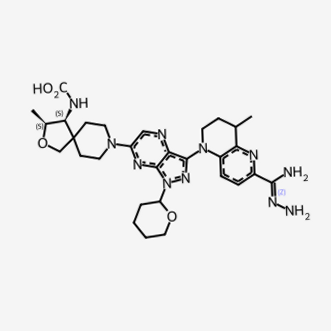 CC1CCN(c2nn(C3CCCCO3)c3nc(N4CCC5(CC4)CO[C@@H](C)[C@H]5NC(=O)O)cnc23)c2ccc(/C(N)=N/N)nc21